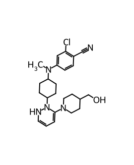 CN(c1ccc(C#N)c(Cl)c1)C1CCC(N2NC=CC=C2N2CCC(CO)CC2)CC1